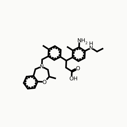 CCNc1ccc(C(CC(=O)O)c2ccc(C)c(CN3Cc4ccccc4OC(C)C3)c2)c(C)c1N